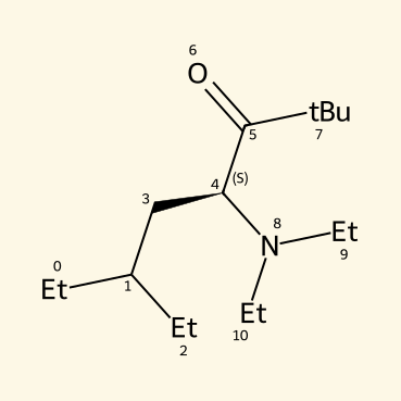 CCC(CC)C[C@@H](C(=O)C(C)(C)C)N(CC)CC